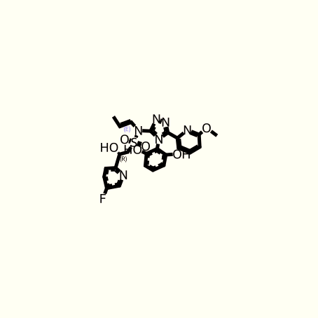 C/C=C/N(c1nnc(C2=C=C=CC(OC)=N2)n1-c1c(O)cccc1O)S(=O)(=O)C[C@H](O)c1ccc(F)cn1